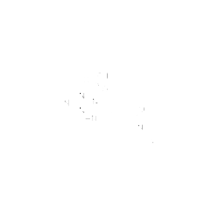 CS(=O)(=O)c1nc(Nc2ccc(C(=O)N3CCOCC3)cc2)n2ccnc2n1